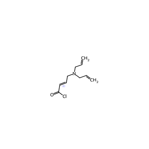 C=CCN(CC=C)C/C=C/C(=O)Cl